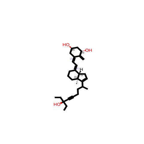 C=C1/C(=C\C=C2/CCC[C@]3(C)C(C(C)CCC#CC(O)(CC)CC)=CC[C@@H]23)C[C@@H](O)C[C@@H]1O